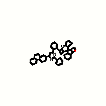 C1=CC2=C(CC1)C1(C3=C(Oc4ccccc41)C(c1ccccc1-c1cc(-c4ccc5c(ccc6ccccc65)c4)nc(-c4ccccc4)n1)CC=C3)C1=C2C=CCC1